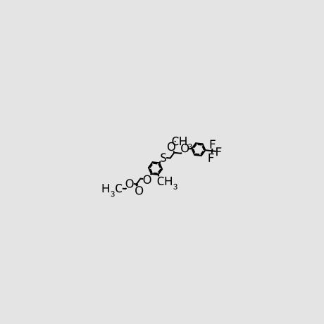 CCOC(=O)COc1ccc(SCC(COc2ccc(C(F)(F)F)cc2)OC)cc1C